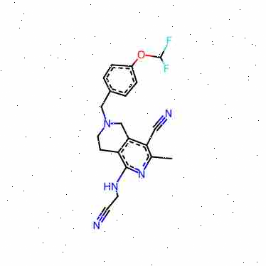 Cc1nc(NCC#N)c2c(c1C#N)CN(Cc1ccc(OC(F)F)cc1)CC2